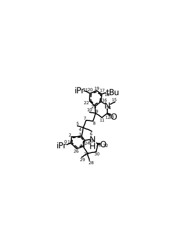 CC(C)c1cc(C(C)(C)CCC2(C)CC(=O)N(C)c3c(C(C)(C)C)cc(C(C)C)cc32)c2c(c1)C(C)(C)CC(=O)N2